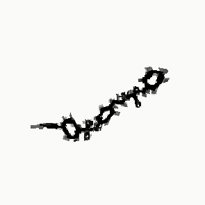 N#Cc1ccc(S(=O)(=O)Nc2ccc(CCNC(=O)OCc3ccccc3)cc2)cc1